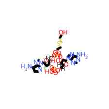 Nc1ncnc2c1ncn2[C@@H]1O[C@@H]2COP(=O)(O)OC3[C@@H](COP(=O)(OCCSSCCO)OC1[C@H]2O)O[C@@H](n1cnc2c(N)ccnc21)[C@H]3F